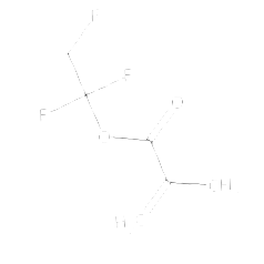 C=C(C)C(=O)OC(F)(F)CF